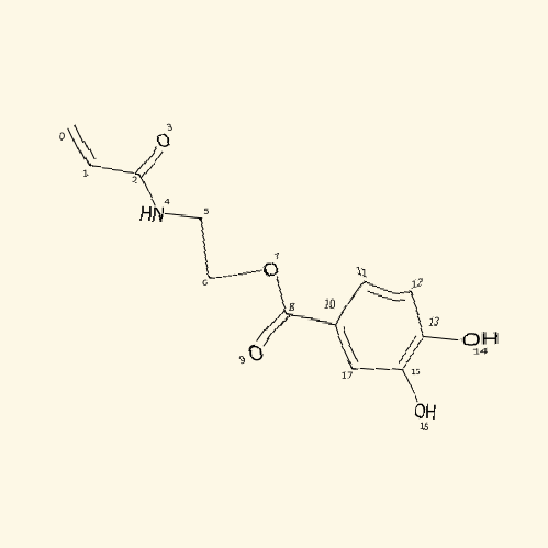 C=CC(=O)NCCOC(=O)c1ccc(O)c(O)c1